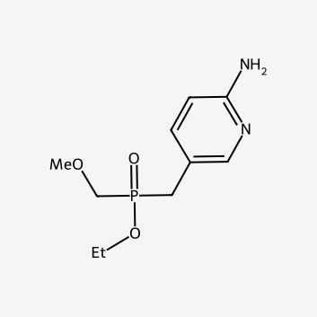 CCOP(=O)(COC)Cc1ccc(N)nc1